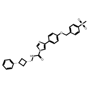 CS(=O)(=O)c1ccc(COc2ccc(-c3cn(C(=O)NC[C@H]4C[C@@H](c5ccccc5)C4)cn3)cc2)cc1